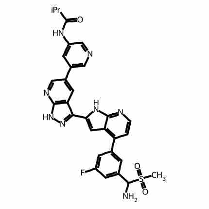 CC(C)C(=O)Nc1cncc(-c2cnc3[nH]nc(-c4cc5c(-c6cc(F)cc(C(N)S(C)(=O)=O)c6)ccnc5[nH]4)c3c2)c1